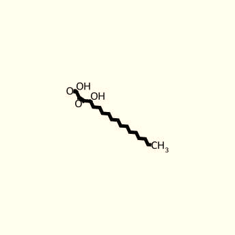 CCCCCCCCCCCCCCC(O)C1=C(C(=O)O)O1